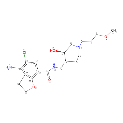 COCCCN1CC[C@H](CNC(=O)c2cc(Cl)c(N)c3c2OCC3)[C@@H](O)C1